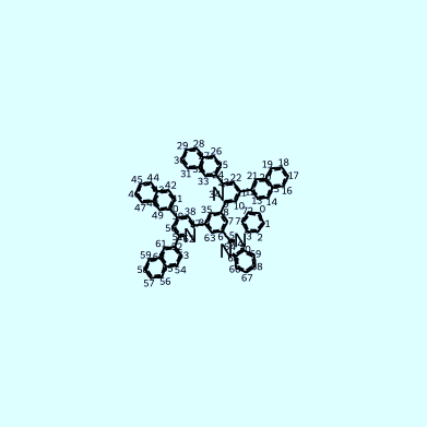 c1ccc(-n2c(-c3cc(-c4cc(-c5ccc6ccccc6c5)cc(-c5ccc6ccccc6c5)n4)cc(-c4cc(-c5ccc6ccccc6c5)cc(-c5ccc6ccccc6c5)n4)c3)nc3ccccc32)cc1